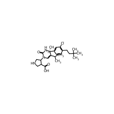 CC(C)C1=CN(C2CNCC2C(=O)O)C(=O)N[C@@]1(C)c1ccc(CCC(C)(C)C)c(Cl)c1